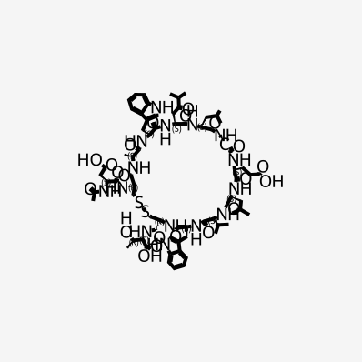 CC(=O)N[C@@H](CC(=O)O)C(=O)N[C@H]1CSSC[C@@H](C(=O)N[C@H](C(=O)O)[C@@H](C)O)NC(=O)[C@H](Cc2c[nH]c3ccccc23)NC(=O)[C@H](C(C)C)NC(=O)[C@H](CC(C)C)NC(=O)[C@H](CCC(=O)O)NC(=O)CNC(=O)[C@H](CC(C)C)NC(=O)[C@H](CC(=O)C(C)C)NC(=O)[C@H](Cc2c[nH]c3ccccc23)NC(=O)[C@H](C)NC1=O